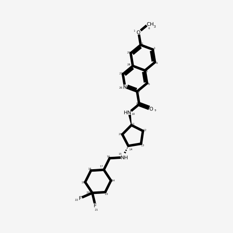 COc1ccc2cc(C(=O)N[C@H]3CC[C@H](NCC4CCC(F)(F)CC4)C3)ncc2c1